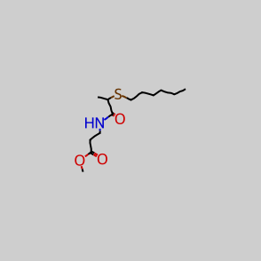 CCCCCCSC(C)C(=O)NCCC(=O)OC